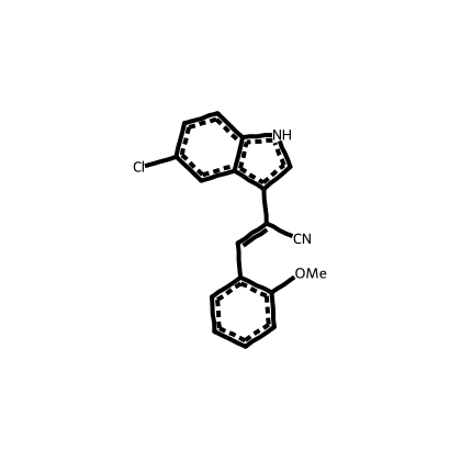 COc1ccccc1C=C(C#N)c1c[nH]c2ccc(Cl)cc12